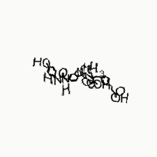 CN1Cc2cc(NC(=O)Nc3ccc(O)cc3)ccc2C1C(=O)NC(Cc1ccc(CCC(=O)O)cc1)C(=O)O